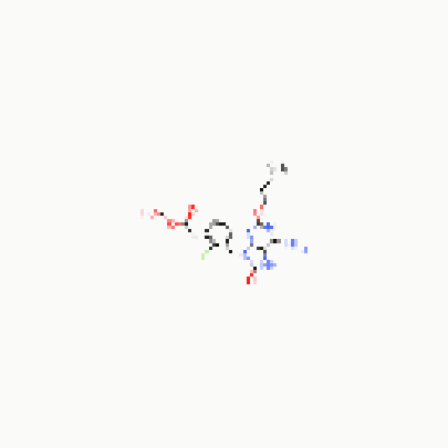 CCCCOc1nc(N)c2[nH]c(=O)n(Cc3cccc(CC(=O)OCO)c3F)c2n1